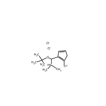 C[SiH](C)C(OC(C)(C)C)C1=[C]([Ti+2])CC=C1.[Cl-].[Cl-]